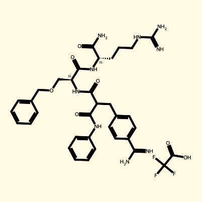 N=C(N)NCCC[C@H](NC(=O)[C@H](COCc1ccccc1)NC(=O)C(Cc1ccc(C(=N)N)cc1)C(=O)Nc1ccccc1)C(N)=O.O=C(O)C(F)(F)F